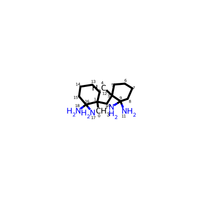 CC1(CC2(C)CCCCC2(N)N)CCCCC1(N)N